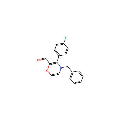 O=CC1=C(c2ccc(F)cc2)N(Cc2ccccc2)C=CO1